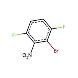 O=[N+]([O-])c1c(F)ccc(F)c1Br